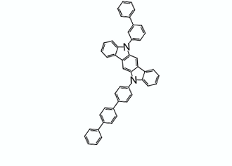 c1ccc(-c2ccc(-c3ccc(-n4c5ccccc5c5cc6c(cc54)c4ccccc4n6-c4cccc(-c5ccccc5)c4)cc3)cc2)cc1